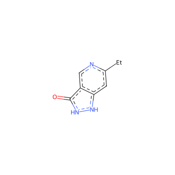 CCc1cc2[nH][nH]c(=O)c2cn1